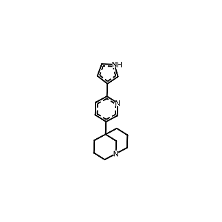 c1cc(-c2ccc(C34CCCN(CCC3)C4)cn2)c[nH]1